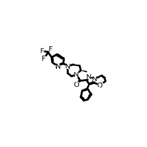 C[C@@H]1CCN(c2ccc(C(F)(F)F)cn2)CCN1C(=O)c1nn2c(c1-c1ccccc1)OCCC2